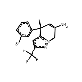 CC1(c2cccc(Br)c2)C=C(N)Cn2nc(C(F)(F)F)cc21